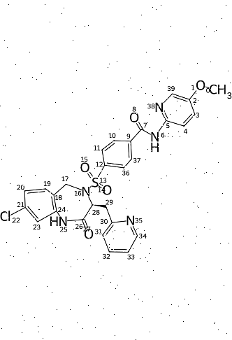 COc1ccc(NC(=O)c2ccc(S(=O)(=O)N3Cc4ccc(Cl)cc4NC(=O)[C@@H]3Cc3ccccn3)cc2)nc1